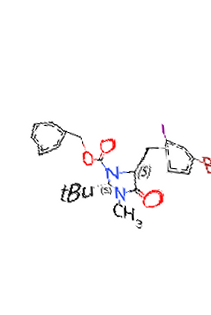 CN1C(=O)[C@H](Cc2ccc(Br)cc2I)N(C(=O)OCc2ccccc2)[C@H]1C(C)(C)C